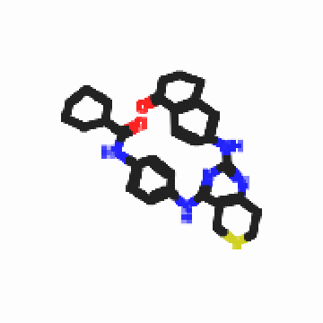 O=C1CCCc2cc(Nc3nc4c(c(Nc5ccc(NC(=O)C6CCCCC6)cc5)n3)CSCC4)ccc21